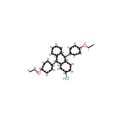 CCOc1ccc(-c2c3ccccc3c(-c3ccc(OCC)cc3)c3cc(Cl)ccc23)cc1